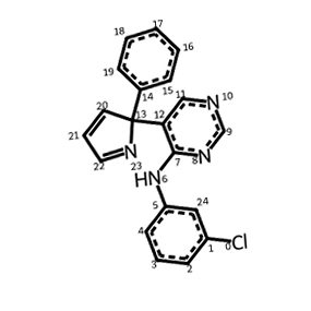 Clc1cccc(Nc2ncncc2C2(c3ccccc3)C=CC=N2)c1